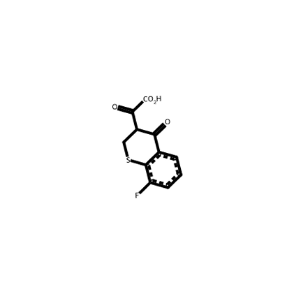 O=C(O)C(=O)C1CSc2c(F)cccc2C1=O